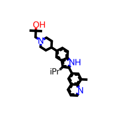 Cc1cc(-c2[nH]c3ccc(C4CCN(CC(C)(C)O)CC4)cc3c2C(C)C)cc2cccnc12